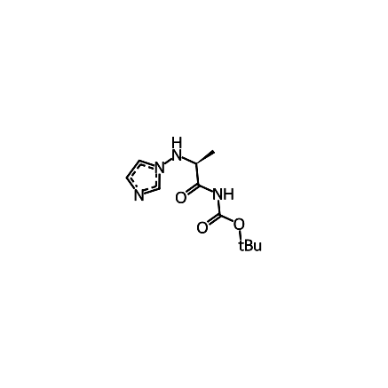 C[C@H](Nn1ccnc1)C(=O)NC(=O)OC(C)(C)C